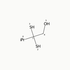 CC(C)C(S)(S)CO